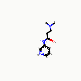 CN(C)CCC(=O)Nc1c[c]cnc1